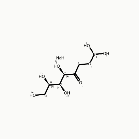 O=C(COB(O)O)[C@H](O)[C@@H](O)[C@H](O)CO.[NaH]